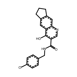 O=C(NCc1ccc(Cl)cc1)c1cnc2cc3c(cc2c1O)CCC3